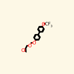 FC(F)(F)Oc1ccc(-c2ccc(OCOCC3CO3)cc2)cc1